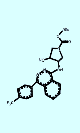 CCCCOC(=O)N1CC(C#N)C(Nc2nnc(-c3ccc(C(F)(F)F)cc3)c3ccccc23)C1